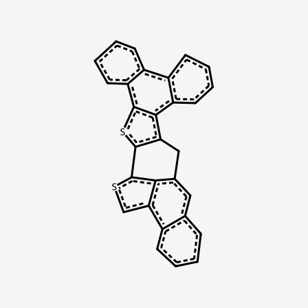 c1ccc2c(c1)cc1c3c(scc32)-c2sc3c4ccccc4c4ccccc4c3c2C1